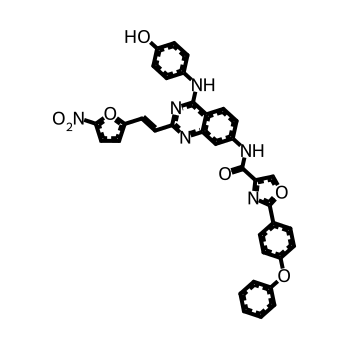 O=C(Nc1ccc2c(Nc3ccc(O)cc3)nc(/C=C/c3ccc([N+](=O)[O-])o3)nc2c1)c1coc(-c2ccc(Oc3ccccc3)cc2)n1